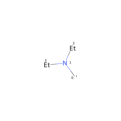 [CH]N(CC)CC